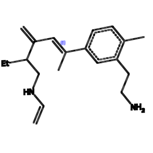 C=CNCC(CC)C(=C)/C=C(\C)c1ccc(C)c(CCN)c1